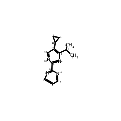 CC(C)c1nc(-c2ncccn2)ncc1C1CC1